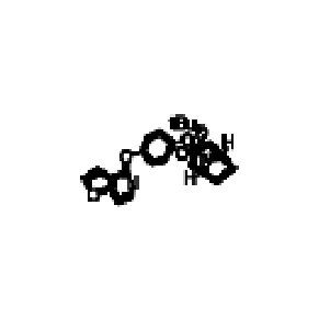 CC(C)(C)OC(=O)N1[C@@H]2CC[C@H]1C[C@H](O[C@H]1CC[C@H](Oc3nccc4occc34)CC1)C2